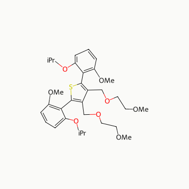 COCCOCc1c(-c2c(OC)cccc2OC(C)C)sc(-c2c(OC)cccc2OC(C)C)c1COCCOC